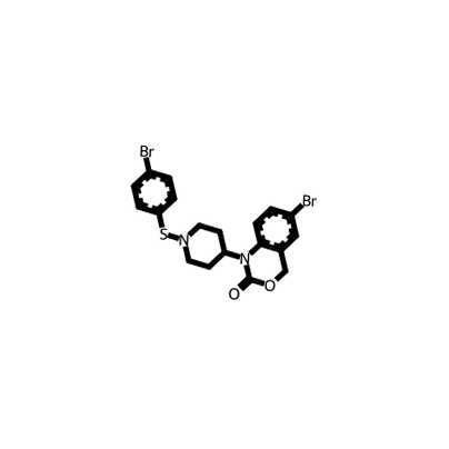 O=C1OCc2cc(Br)ccc2N1C1CCN(Sc2ccc(Br)cc2)CC1